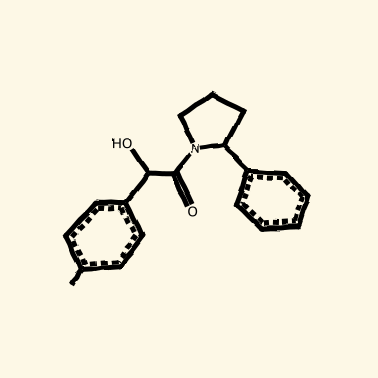 Cc1ccc(C(O)C(=O)N2CCCC2c2ccccc2)cc1